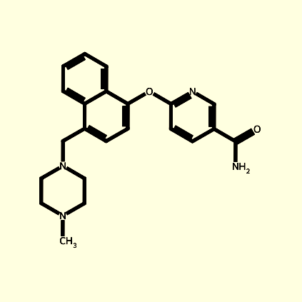 CN1CCN(Cc2ccc(Oc3ccc(C(N)=O)cn3)c3ccccc23)CC1